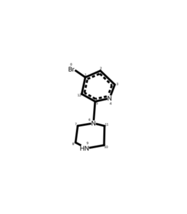 Brc1ccnc(N2CCNCC2)c1